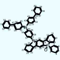 O=P1(c2ccccc2)c2ccccc2-c2cc3c(cc21)c1ccccc1n3-c1ccc(N(c2ccc(-c3ccccc3)cc2)c2ccc(-c3ccccc3)cc2)cc1